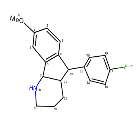 COc1ccc2c(c1)C1NCCCC1C2c1ccc(F)cc1